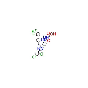 O=C(O)CNC(=O)Nc1ccc(Cn2cc(-c3ccc(Cl)cc3Cl)nc2/C=C/c2ccc(-c3cccc(C(F)(F)F)c3)cc2)cc1